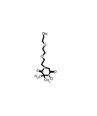 CC1(C)C(=O)N(CCOCCOCCO)CC(=O)N1Cl